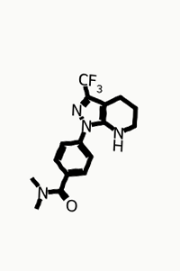 CN(C)C(=O)c1ccc(-n2nc(C(F)(F)F)c3c2NCCC3)cc1